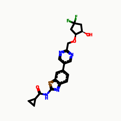 O=C(Nc1nc2ccc(-c3cnc(CO[C@H]4CC(F)(F)C[C@@H]4O)nc3)cc2s1)C1CC1